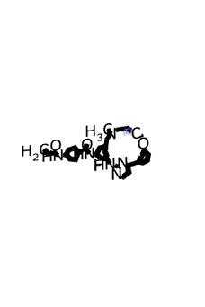 C=CC(=O)Nc1ccc(C(=O)Nc2cc3cc(c2F)Nc2nccc(n2)-c2cccc(c2)OCC/C=C/CN(C)C3)cc1